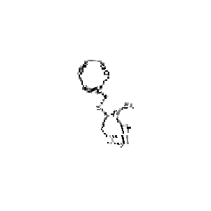 CCN(CC)C(CC(=O)O)SCc1ccccc1